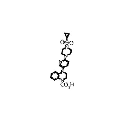 O=C(O)N1CCN(c2ccc(N3CCN(S(=O)(=O)C4CC4)CC3)nc2)c2ccccc21